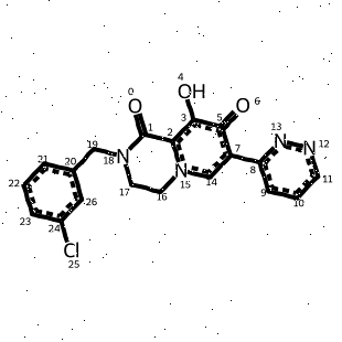 O=C1c2c(O)c(=O)c(-c3cccnn3)cn2CCN1Cc1cccc(Cl)c1